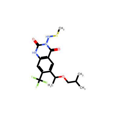 CSNn1c(=O)[nH]c2cc(C(F)(F)F)c(C(C)OCC(C)C)cc2c1=O